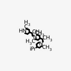 CC(C)C1CCN(CC(C)C2C[C@@H](C)N(CC(C)C3CCN[C@@H](C)C3)[C@@H](C)C2)C(C)C1